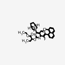 CCOC(=O)C(CC)Oc1nc(N2C[C@H]3CC[C@@H](C2)N3)c2cnc(-c3cccc4cccc(Cl)c34)c(F)c2n1